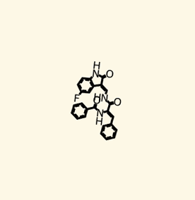 O=C(N/C=C1/C(=O)Nc2ccc(F)cc21)/C(=C/c1ccccc1)NC(=O)c1ccccc1